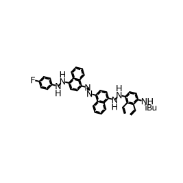 C=Cc1c(NNc2ccc(/N=N/c3ccc(NNc4ccc(F)cc4)c4ccccc34)c3ccccc23)ccc(NC(C)CC)c1C=C